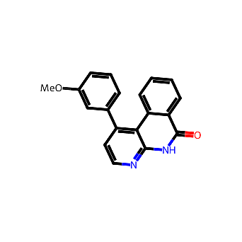 COc1cccc(-c2ccnc3[nH]c(=O)c4ccccc4c23)c1